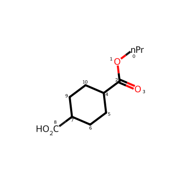 CCCOC(=O)C1CCC(C(=O)O)CC1